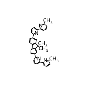 Cc1cccc(-c2cccc(-c3ccc4c(c3)C(C)(C)c3cc(-c5cccc(-c6cccc(C)n6)n5)ccc3-4)n2)n1